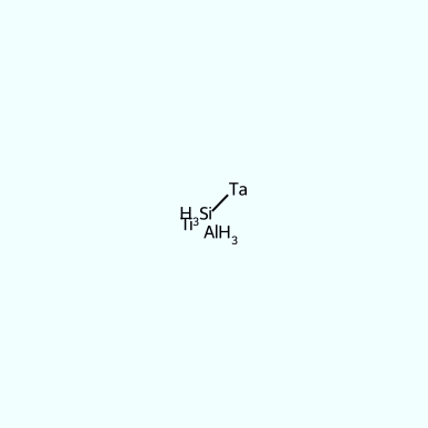 [AlH3].[SiH3][Ta].[Ti]